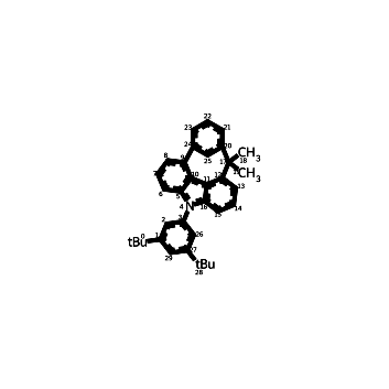 CC(C)(C)c1cc(-n2c3cccc4c3c3c(cccc32)C(C)(C)c2cccc-4c2)cc(C(C)(C)C)c1